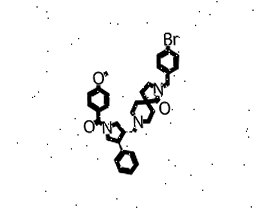 COc1ccc(C(=O)N2C[C@H](CN3CCC4(CC3)CCN(Cc3ccc(Br)cc3)C4=O)[C@@H](c3ccccc3)C2)cc1